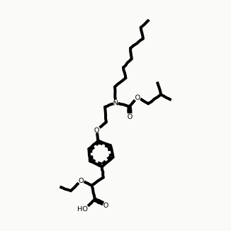 CCCCCCCCN(CCOc1ccc(CC(OCC)C(=O)O)cc1)C(=O)OCC(C)C